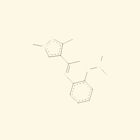 CC(=Nc1ccccc1O[SiH](C)C)c1cn(C)nc1C